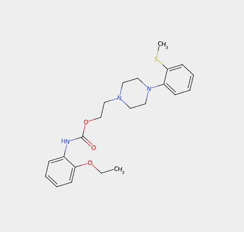 CCOc1ccccc1NC(=O)OCCN1CCN(c2ccccc2SC)CC1